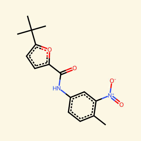 Cc1ccc(NC(=O)c2ccc(C(C)(C)C)o2)cc1[N+](=O)[O-]